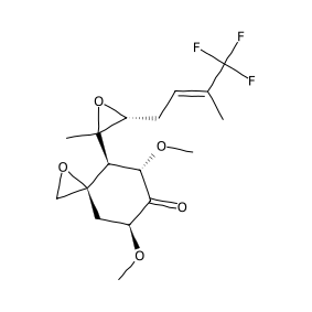 CO[C@H]1C[C@]2(CO2)[C@@H](C2(C)O[C@@H]2C/C=C(\C)C(F)(F)F)[C@H](OC)C1=O